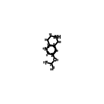 FC(F)Oc1cnc2c(c1)CNCC2